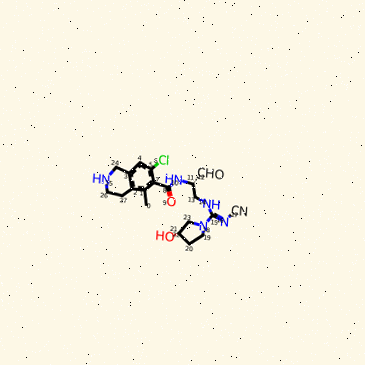 Cc1c2c(cc(Cl)c1C(=O)N[C@H](C=O)CN/C(=N\C#N)N1CC[C@H](O)C1)CNCC2